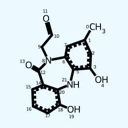 Cc1cc(O)c2c(c1)N(CC=O)C(=O)c1cccc(O)c1N2